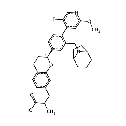 COc1cc(-c2ccc([C@@H]3CCc4ccc(CC(C)C(=O)O)cc4O3)cc2CN2C3CCCC2CC3)c(F)cn1